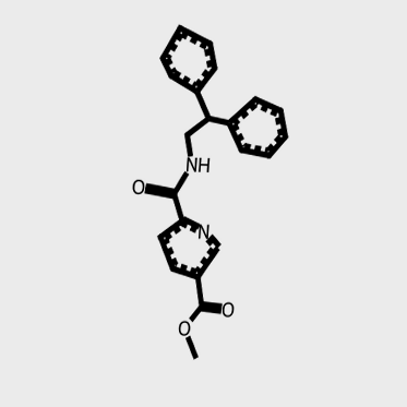 COC(=O)c1ccc(C(=O)NCC(c2ccccc2)c2ccccc2)nc1